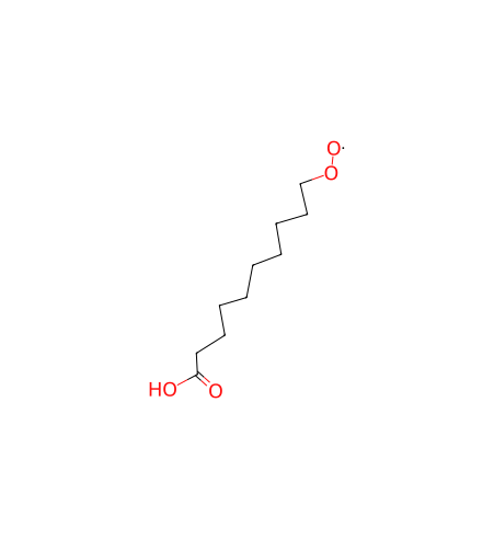 [O]OCCCCCCCCCC(=O)O